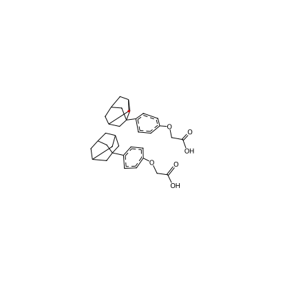 O=C(O)COc1ccc(C23CC4CC(CC(C4)C2)C3)cc1.O=C(O)COc1ccc(C23CC4CC(CC(C4)C2)C3)cc1